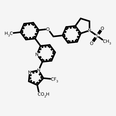 Cc1ccc(OCc2ccc3c(c2)CCN3S(C)(=O)=O)c(-c2cccc(-n3ncc(C(=O)O)c3C(F)(F)F)n2)c1